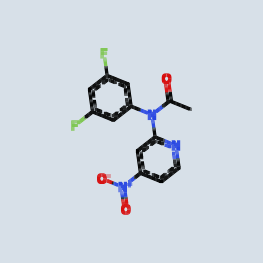 CC(=O)N(c1cc(F)cc(F)c1)c1cc([N+](=O)[O-])ccn1